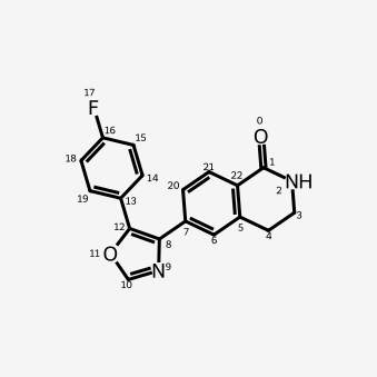 O=C1NCCc2cc(-c3ncoc3-c3ccc(F)cc3)ccc21